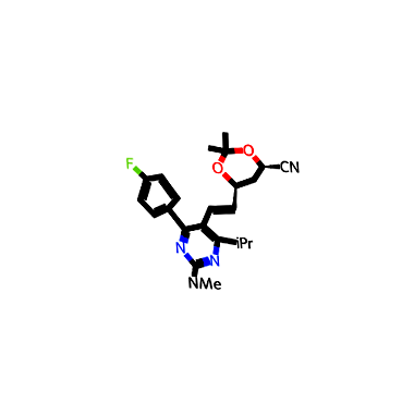 CNc1nc(-c2ccc(F)cc2)c(/C=C/[C@@H]2C[C@H](C#N)OC(C)(C)O2)c(C(C)C)n1